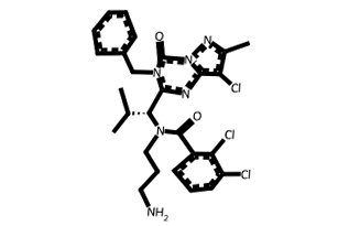 Cc1nn2c(=O)n(Cc3ccccc3)c([C@@H](C(C)C)N(CCCN)C(=O)c3cccc(Cl)c3Cl)nc2c1Cl